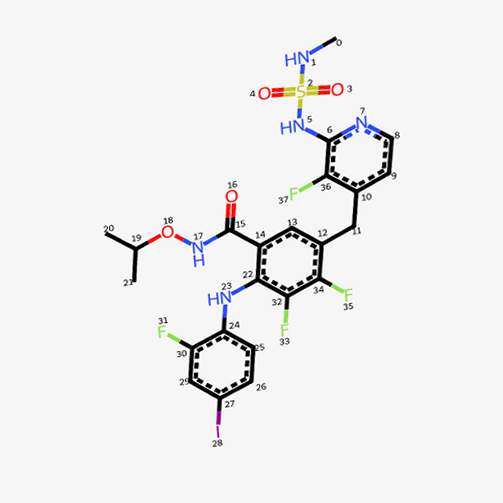 CNS(=O)(=O)Nc1nccc(Cc2cc(C(=O)NOC(C)C)c(Nc3ccc(I)cc3F)c(F)c2F)c1F